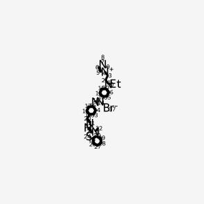 CCN(CC[n+]1ccn(C)c1)c1ccc(N=Nc2ccc(C=NN=c3sc4ccccc4n3C)cc2)cc1.[Br-]